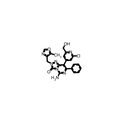 Cc1ocnc1Cn1nc2c(-c3cc(Cl)nc(CO)c3)c(-c3ccccc3)nc(N)n2c1=O